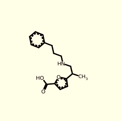 CC(CNCCCc1ccccc1)c1ccc(C(=O)O)o1